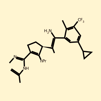 C=C(C)N/C(=N\C)C1=C(CCC)[C@H](/C(C)=C(\N)c2cc(C3CC3)cc(C(F)(F)F)c2C)CC1